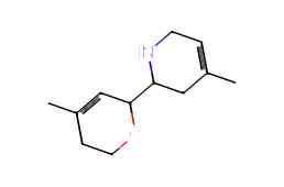 CC1=CC(C2CC(C)=CCN2)OCC1